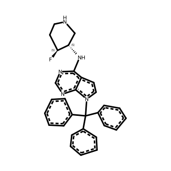 F[C@H]1CCNC[C@@H]1Nc1ncnc2c1ccn2C(c1ccccc1)(c1ccccc1)c1ccccc1